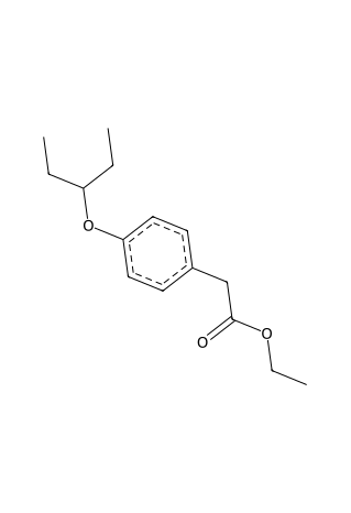 CCOC(=O)Cc1ccc(OC(CC)CC)cc1